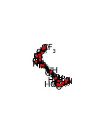 Cc1ncsc1-c1ccc(CNC(=O)[C@@H]2C[C@@H](O)CN2C(=O)[C@@H](NC(=O)COCCOCC(=O)NCCCCn2cnc(-c3cnc(O[C@@H]4CCN(C(=O)Cc5ccc(OC(F)(F)F)cc5)C[C@H]4F)c(C(N)=O)c3)c2)C(C)(C)C)cc1